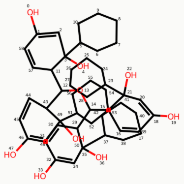 OC1=CC(O)(C2CCCCC2)C(C(OC(C2C=CC(O)=CC2(O)C2CCCCC2)C2C=CC(O)=CC2(O)C2CCCCC2)C2C=CC(O)=CC2(O)C2CCCCC2)C=C1